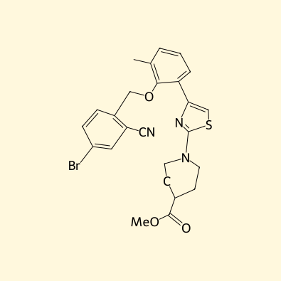 COC(=O)C1CCN(c2nc(-c3cccc(C)c3OCc3ccc(Br)cc3C#N)cs2)CC1